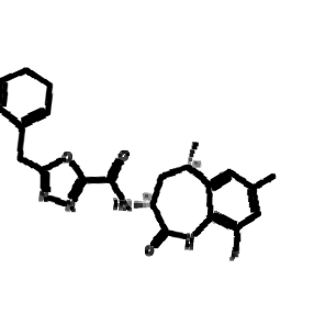 Cc1cc(F)c2c(c1)[C@@H](C)C[C@@H](NC(=O)c1nnc(CC3=CCCC=C3)o1)C(=O)N2